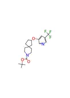 CC(C)(C)OC(=O)N1CCC2(CCC(Oc3cncc(C(F)(F)F)c3)C2)CC1